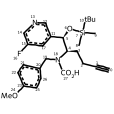 C#CCC[C@H]([C@H](O[Si](C)(C)C(C)(C)C)c1cncc(F)c1)N(Cc1ccc(OC)cc1)C(=O)O